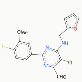 COc1cc(-c2nc(C=O)c(Cl)c(NCc3ccco3)n2)ccc1F